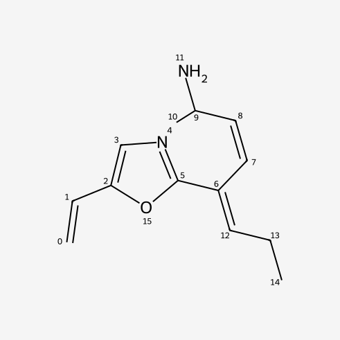 C=Cc1cnc(C(/C=C\C(C)N)=C/CC)o1